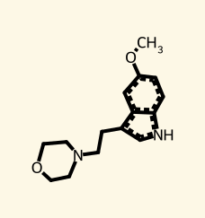 COc1ccc2[nH]cc(CCN3CCOCC3)c2c1